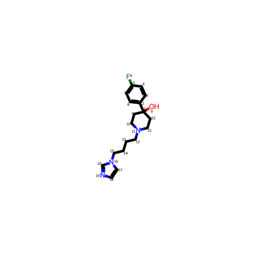 OC1(c2ccc(F)cc2)CCN(CCCCn2ccnc2)CC1